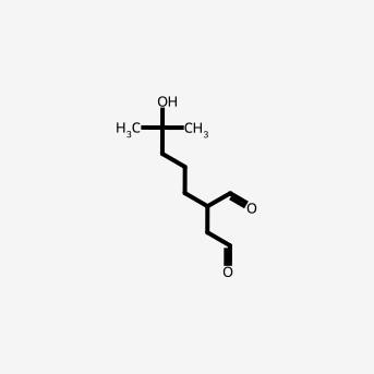 CC(C)(O)CCCC(C=O)CC=O